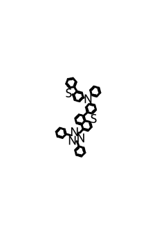 c1ccc(-c2nc(-c3ccccc3)nc(-c3ccc4c5c(cccc35)-c3cc(N(c5ccccc5)c5ccc6sc7ccccc7c6c5)ccc3S4)n2)cc1